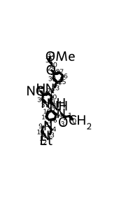 C=CC(=O)Nc1cc(N2CCN(CC)CC2)ccc1Nc1cc(NCc2cccc(OCCOC)c2)c(C#N)cn1